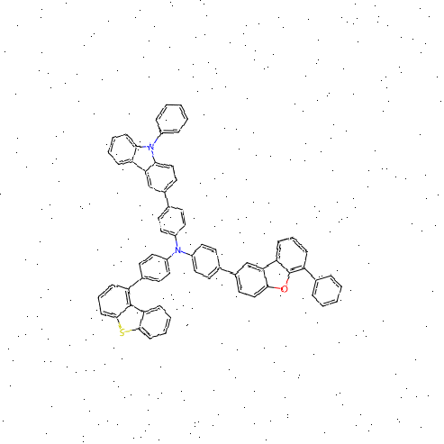 c1ccc(-c2cccc3c2oc2ccc(-c4ccc(N(c5ccc(-c6ccc7c(c6)c6ccccc6n7-c6ccccc6)cc5)c5ccc(-c6cccc7sc8ccccc8c67)cc5)cc4)cc23)cc1